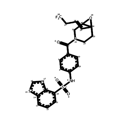 O=C(c1ccc(NS(=O)(=O)c2cccc3scnc23)cc1)N1CCC2(/C=C/CC(F)(F)F)OC2C1